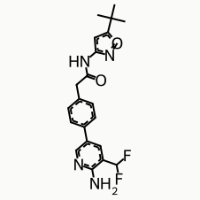 CC(C)(C)c1cc(NC(=O)Cc2ccc(-c3cnc(N)c(C(F)F)c3)cc2)no1